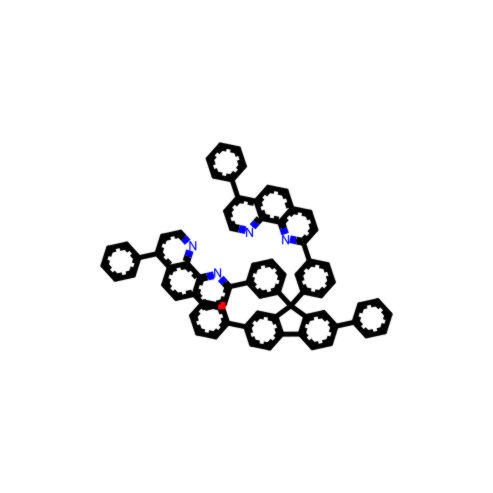 c1ccc(-c2ccc3c(c2)C(c2cccc(-c4ccc5ccc6c(-c7ccccc7)ccnc6c5n4)c2)(c2cccc(-c4ccc5ccc6c(-c7ccccc7)ccnc6c5n4)c2)c2cc(-c4ccccc4)ccc2-3)cc1